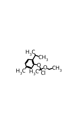 CCOC(C)(Cl)Oc1cc(C)ccc1C(C)C